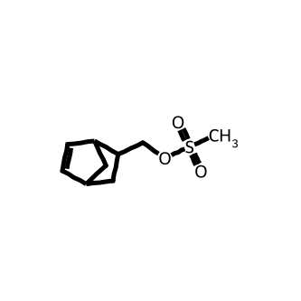 CS(=O)(=O)OCC1CC2C=CC1C2